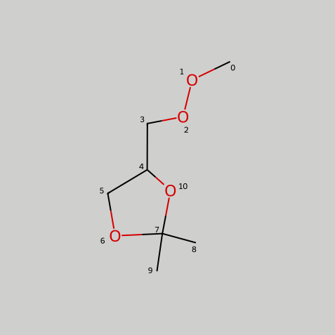 COOCC1COC(C)(C)O1